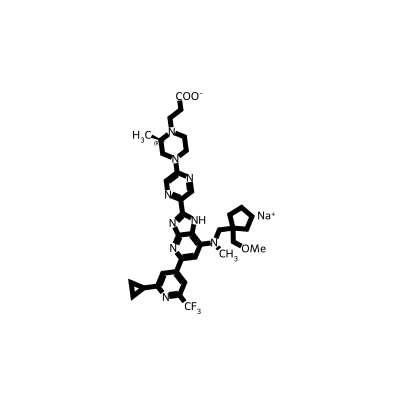 COCC1(CN(C)c2cc(-c3cc(C4CC4)nc(C(F)(F)F)c3)nc3nc(-c4cnc(N5CCN(CCC(=O)[O-])[C@H](C)C5)cn4)[nH]c23)CCCC1.[Na+]